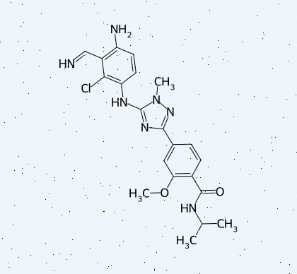 COc1cc(-c2nc(Nc3ccc(N)c(C=N)c3Cl)n(C)n2)ccc1C(=O)NC(C)C